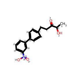 CC(O)C(=O)CCc1ccc(-c2cccc([N+](=O)[O-])c2)cc1